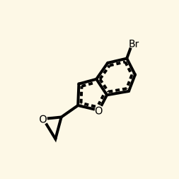 Brc1ccc2oc(C3CO3)cc2c1